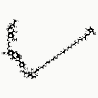 CC(C)[C@H](NC(=O)CCOCCOCCOCCOCCOCCOCCOCCOCCNC(=O)CCN1C(=O)C=CC1=O)C(=O)N[C@@H](C)C(=O)Nc1ccc(C2=CN3C(=O)c4cc(O)c(OCCCOc5cc6c(cc5O)C(=O)N5C=C(C7CC7)C[C@H]5C=N6)cc4N=C[C@@H]3C2)cc1